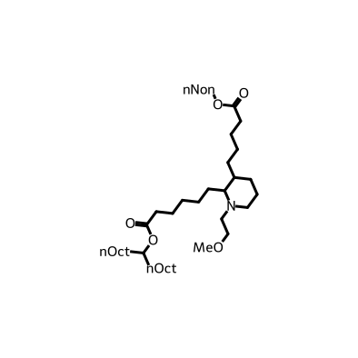 CCCCCCCCCOC(=O)CCCCC1CCCN(CCOC)C1CCCCCC(=O)OC(CCCCCCCC)CCCCCCCC